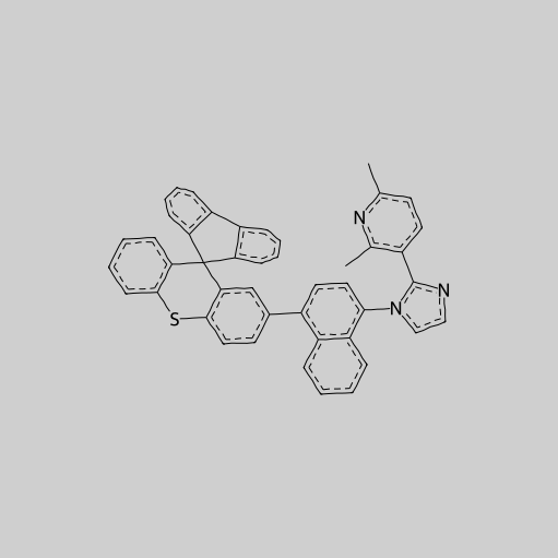 Cc1ccc(-c2nccn2-c2ccc(-c3ccc4c(c3)C3(c5ccccc5S4)c4ccccc4-c4ccccc43)c3ccccc23)c(C)n1